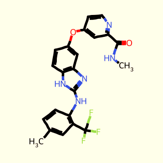 CNC(=O)c1cc(Oc2ccc3[nH]c(Nc4ccc(C)cc4C(F)(F)F)nc3c2)ccn1